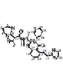 Cc1nn2cccnc2c1C(=O)N[C@@H](C)c1nc2cccc(/C=C/c3nccs3)c2c(=O)n1-c1ccccc1